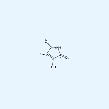 CC1=C(O)C(=O)NC1=O